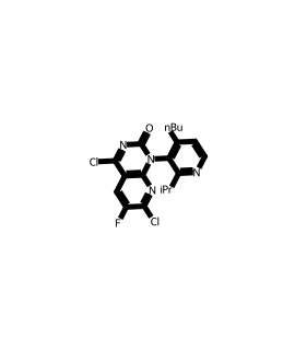 CCCCc1ccnc(C(C)C)c1-n1c(=O)nc(Cl)c2cc(F)c(Cl)nc21